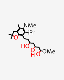 CNc1c(C)c2c(c(CCC(O)CC(O)CC(=O)OC)c1C(C)C)OC(C)(C)C2